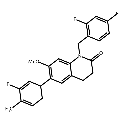 COc1cc2c(cc1C1C=C(F)C(C(F)(F)F)=CC1)CCC(=O)N2Cc1ccc(F)cc1F